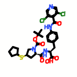 CC(C)(C)OC(=O)N1C[C@H](SC2CCCC2)C[C@H]1C(=O)N[C@@H](Cc1ccc(NC(=O)c2c(Cl)cncc2Cl)cc1)C(=O)O